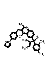 CN/C(=C\N)C(C)(c1ccc2nc(C)c(Cc3ccc(-n4cccn4)cc3)c(Cl)c2c1)c1ccc(C)nc1C